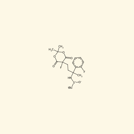 CC1(C)OC(=O)C(F)(CCC(C)(N[S+]([O-])C(C)(C)C)c2ccccc2F)C(=O)O1